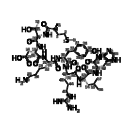 CSCC[C@H](C)C(=O)N[C@H](C(=O)N[C@@H](CC(=O)O)C(=O)N[C@@H](CCCCN)C(=O)N[C@@H](Cc1ccc(O)cc1)C(=O)N[C@@H](CCCNC(=N)N)C(=O)N[C@@H](CC(C)C)C(=O)N[C@@H](Cc1cnc[nH]1)C(N)=O)[C@@H](C)O